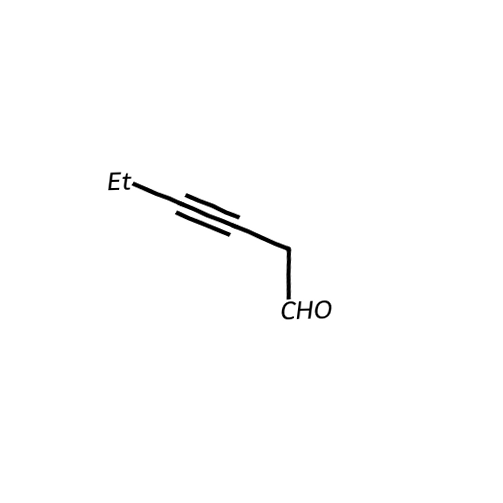 CCC#CCC=O